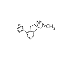 CN1C=N[C@]2(CCc3c(cccc3-c3ccsc3)C2)C1